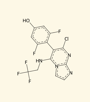 Oc1cc(F)c(-c2c(Cl)nc3nccn3c2NCC(F)(F)F)c(F)c1